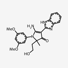 COc1cc(OC)cc(N2C(N)=C(c3nc4ccccc4[nH]3)C(=O)C2(C)CCO)c1